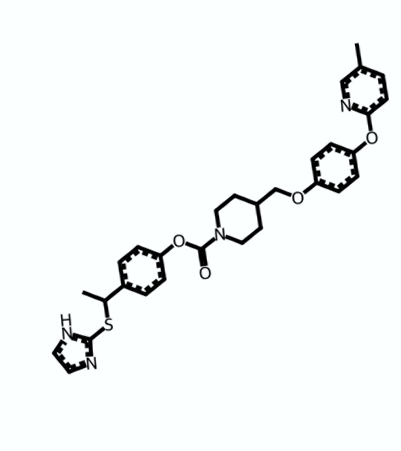 Cc1ccc(Oc2ccc(OCC3CCN(C(=O)Oc4ccc(C(C)Sc5ncc[nH]5)cc4)CC3)cc2)nc1